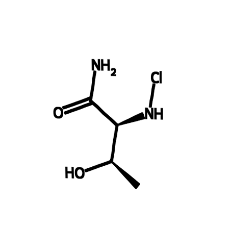 C[C@@H](O)[C@H](NCl)C(N)=O